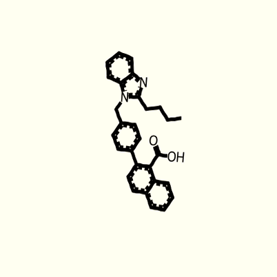 CCCCc1nc2ccccc2n1Cc1ccc(-c2ccc3ccccc3c2C(=O)O)cc1